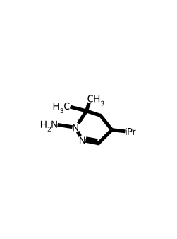 CC(C)C1C=NN(N)C(C)(C)C1